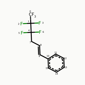 FC(F)(F)C(F)(F)C(F)(F)CC=Cc1ccccc1